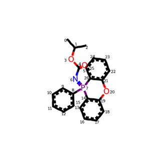 CC(C)OC(=O)N=P1(c2ccccc2)c2ccccc2Oc2ccccc21